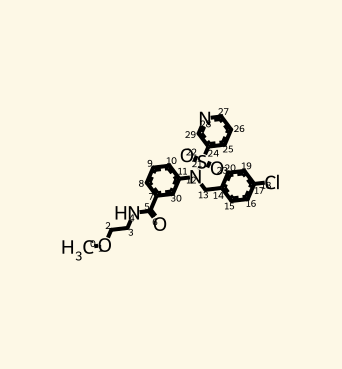 COCCNC(=O)c1cccc(N(Cc2ccc(Cl)cc2)S(=O)(=O)c2cccnc2)c1